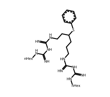 CCCCCCNC(=N)NC(=N)NCCCC(CCNC(=N)NC(=N)NCCCCCC)Sc1ccccc1